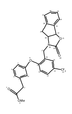 COC(=O)Cc1cccc(Oc2ccc(C(F)(F)F)cc2CN2C(=O)OC3c4ccccc4CC32)c1